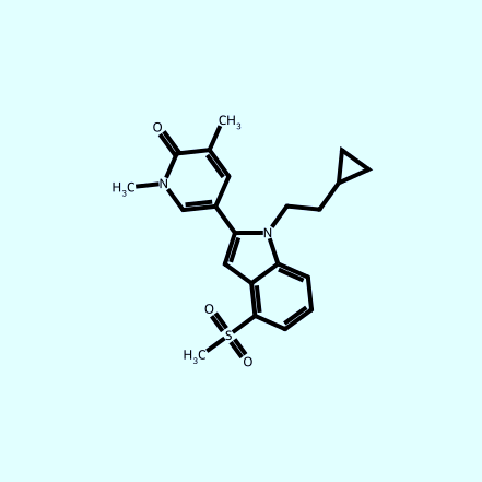 Cc1cc(-c2cc3c(S(C)(=O)=O)cccc3n2CCC2CC2)cn(C)c1=O